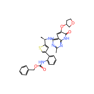 Cc1nc(N[C@H](C)c2cc(-c3ccccc3NC(=O)OCc3ccccc3)cs2)c2cc(O[C@H]3CCOC3)c(=O)[nH]c2n1